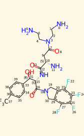 NCCN(CCN)C(=O)C[C@H](N)C(=O)N[C@H](C(=O)N1Cc2c(F)c(F)c(F)c(F)c2C1)[C@H](O)c1ccc(C(F)(F)F)cc1